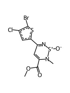 COC(=O)C1=CC(c2cc(Cl)c(Br)s2)=N[S+]([O-])N1C